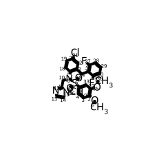 COc1ccc(S(=O)(=O)N(Cc2nccn2C)c2ccc(Cl)cc2Cc2c(F)cccc2F)cc1OC